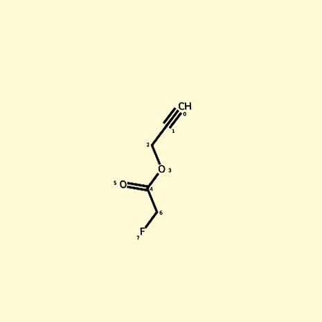 C#CCOC(=O)CF